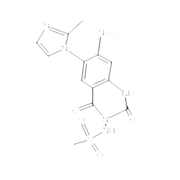 Cc1nccn1-c1cc2c(=O)n(NS(C)(=O)=O)c(=O)[nH]c2cc1[N+](=O)[O-]